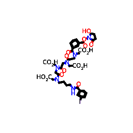 O=C(O)CN(CCCCNC(=O)c1cccc(I)c1)C(=O)CN(CC(=O)O)C(=O)CN(CC(=O)O)C(=O)CN(CC(=O)O)C(=O)c1cccc(C(=O)ON2C(=O)CCC2O)c1